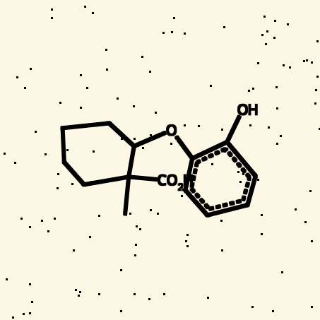 CC1(C(=O)O)CCCCC1Oc1ccccc1O